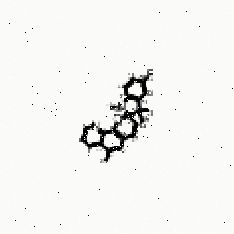 Cc1cc2c(c3ncccc13)OC1(C=C2)N(C)c2ccc(F)cc2C1(C)C